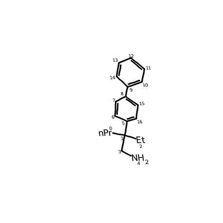 CCCC(CC)(CN)c1ccc(-c2ccccc2)cc1